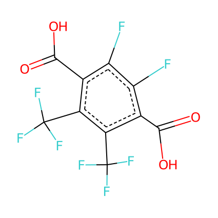 O=C(O)c1c(F)c(F)c(C(=O)O)c(C(F)(F)F)c1C(F)(F)F